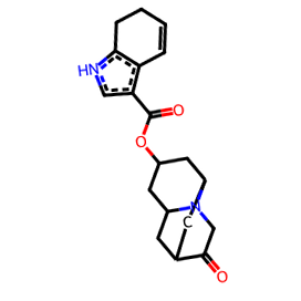 O=C(OC1CC2CC3CC(C1)N2CC3=O)c1c[nH]c2c1C=CCC2